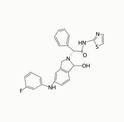 O=C(Nc1nccs1)[C@@H](c1ccccc1)N1Cc2cc(Nc3cccc(F)c3)ccc2C1O